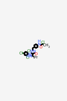 C=C(Cl)C(=O)Nc1ccc(Cc2nc3n(-c4c(Cl)cc(Cl)cc4Cl)[nH]c(C(C)C)c-3c(=O)n2)cc1